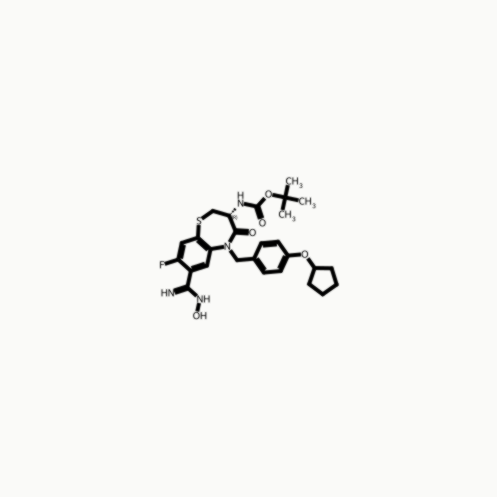 CC(C)(C)OC(=O)N[C@H]1CSc2cc(F)c(C(=N)NO)cc2N(Cc2ccc(OC3CCCC3)cc2)C1=O